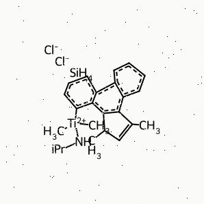 CC1=CC(C)c2c1c1ccccc1c1ccc[c]([Ti+2]([CH3])([CH3])[NH]C(C)C)c21.[Cl-].[Cl-].[SiH4]